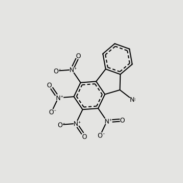 [N]C1c2ccccc2-c2c1c([N+](=O)[O-])c([N+](=O)[O-])c([N+](=O)[O-])c2[N+](=O)[O-]